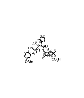 COc1cccc(CC(=N)NN(C(C)=O)C(C(=O)NC2C(=O)N3[C@@H]2SC(C)(C)[C@@H]3C(=O)O)c2cccs2)c1